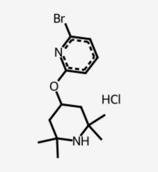 CC1(C)CC(Oc2cccc(Br)n2)CC(C)(C)N1.Cl